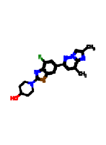 Cc1cn2nc(-c3cc(F)c4nc(N5CCC(O)CC5)sc4c3)cc(C)c2n1